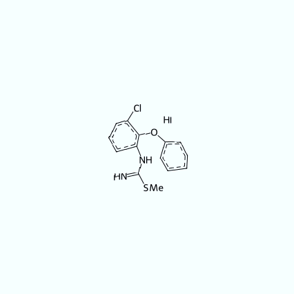 CSC(=N)Nc1cccc(Cl)c1Oc1ccccc1.I